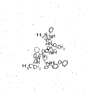 CCCC(NC(=O)[C@@H]1C[C@@H](CNC(=O)c2cccc(Oc3ccccc3)c2)CN1C(=O)[C@@H](NC(=O)OCC(C)C)C1CCCCC1)C(=O)C(=O)NCC(=O)NC(C(N)=O)c1ccccc1